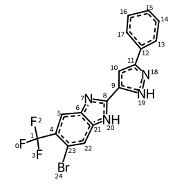 FC(F)(F)c1cc2nc(-c3cc(-c4ccccc4)n[nH]3)[nH]c2cc1Br